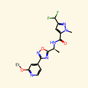 CCOc1cc(-c2noc([C@H](C)NC(=O)c3cc(C(F)F)nn3C)n2)ccn1